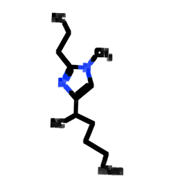 CCCCCCCCCCCCC(C#N)c1cn(C)c(CCC#N)n1